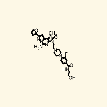 Cn1c(=O)n(CCN2CCN(c3ccc(C(=O)NCCO)cc3F)CC2)c2nc(N)n3nc(-c4ccco4)cc3c21